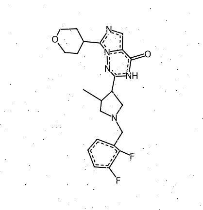 CC1CN(Cc2cccc(F)c2F)CC1c1nn2c(C3CCOCC3)ncc2c(=O)[nH]1